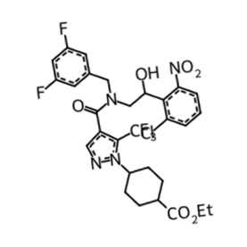 CCOC(=O)C1CCC(n2ncc(C(=O)N(Cc3cc(F)cc(F)c3)CC(O)c3c(Cl)cccc3[N+](=O)[O-])c2C(F)(F)F)CC1